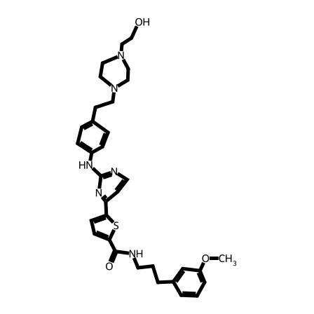 COc1cccc(CCCNC(=O)c2ccc(-c3ccnc(Nc4ccc(CCN5CCN(CCO)CC5)cc4)n3)s2)c1